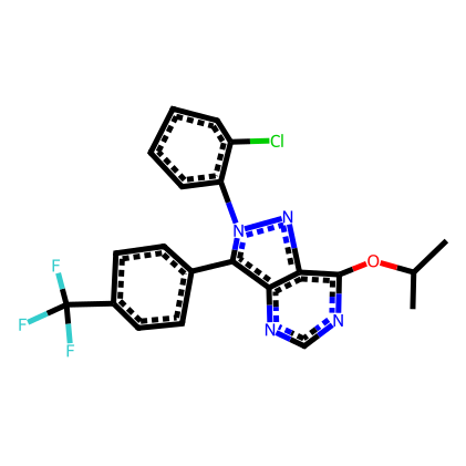 CC(C)Oc1ncnc2c(-c3ccc(C(F)(F)F)cc3)n(-c3ccccc3Cl)nc12